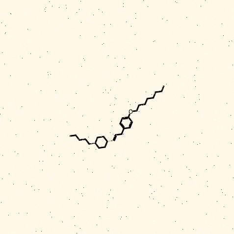 CCCCCCCCOc1ccc([CH]/C=C/[C@H]2CC[C@H](CCCCC)CC2)cc1